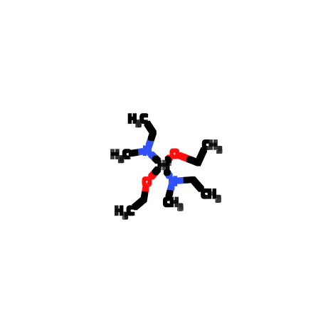 CC[O][Hf]([O]CC)([N](C)CC)[N](C)CC